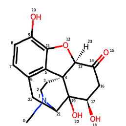 CN1CC[C@]23c4c5ccc(O)c4O[C@H]2C(=O)C[C@@H](O)C3(O)C1C5